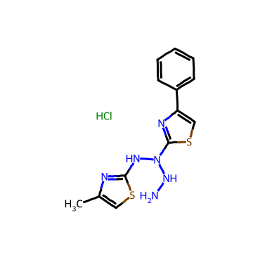 Cc1csc(NN(NN)c2nc(-c3ccccc3)cs2)n1.Cl